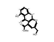 COC(=O)C1=CC(CO)=COc2oc3cccc(O)c3c(=O)c21